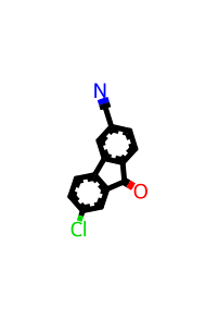 N#Cc1ccc2c(c1)-c1ccc(Cl)cc1C2=O